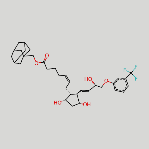 O=C(CCC/C=C\C[C@@H]1[C@@H](/C=C/[C@@H](O)COc2cccc(C(F)(F)F)c2)[C@H](O)C[C@@H]1O)OCC12CC3CC(CC(C3)C1)C2